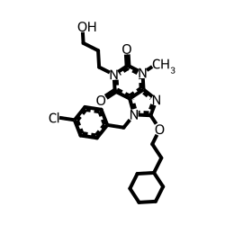 Cn1c(=O)n(CCCO)c(=O)c2c1nc(OCCC1CCCCC1)n2Cc1ccc(Cl)cc1